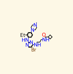 CCc1cc(N2CCN(C)CC2)ccc1Nc1ncc(Br)c(NCCCNC(=O)C2CCC2)n1